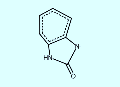 O=C1[N]c2ccccc2N1